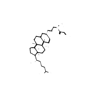 C=CC(=O)N(C)CCC[C@H]1CC[C@@]2(C)[C@@H](CC[C@@H]3[C@@H]2CC[C@]2(C)C([C@H](C)CCCC(C)C)CC[C@@H]32)C1